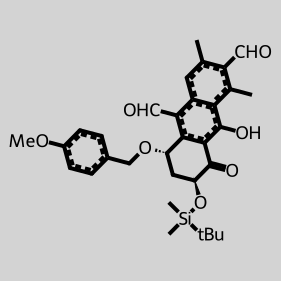 COc1ccc(CO[C@H]2C[C@H](O[Si](C)(C)C(C)(C)C)C(=O)c3c2c(C=O)c2cc(C)c(C=O)c(C)c2c3O)cc1